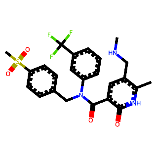 CNCc1cc(C(=O)N(Cc2ccc(S(C)(=O)=O)cc2)c2cccc(C(F)(F)F)c2)c(=O)[nH]c1C